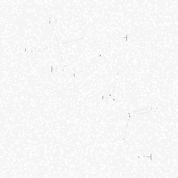 CCC(C)(C)CC(C)(C)CNC(=O)CO